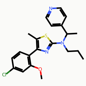 CCCN(c1nc(-c2ccc(Cl)cc2OC)c(C)s1)C(C)c1ccncc1